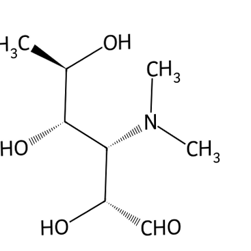 C[C@@H](O)[C@@H](O)[C@@H]([C@@H](O)C=O)N(C)C